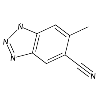 Cc1cc2c(cc1C#N)N=N[N]2